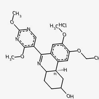 CCOc1cc2c(cc1OC)C(c1cnc(OC)nc1OC)=NC1CCC(O)C[C@H]21.Cl